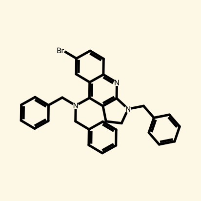 Brc1ccc2nc3c(c(N(Cc4ccccc4)Cc4ccccc4)c2c1)CCN3Cc1ccccc1